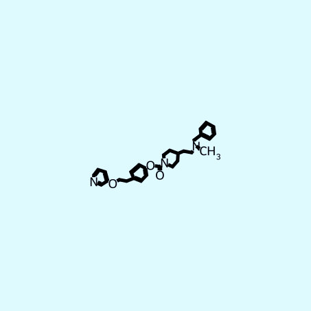 CN(CCC1CCN(C(=O)Oc2ccc(CCOc3cccnc3)cc2)CC1)Cc1ccccc1